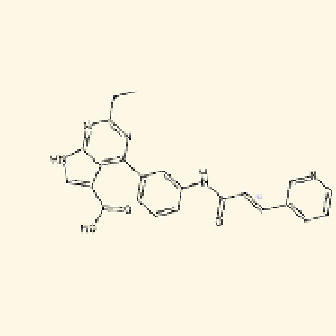 CCc1nc(-c2cccc(NC(=O)/C=C/c3cccnc3)c2)c2c(C(=O)O)c[nH]c2n1